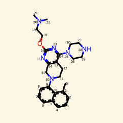 Cc1cccc2cccc(N3CCc4c(nc(OCCN(C)C)nc4N4CCNCC4)C3)c12